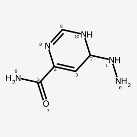 NNC1C=C(C(N)=O)N=CN1